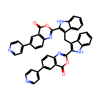 O=c1oc(-c2[nH]c3ccccc3c2Cc2c(-c3nc4ccc(-c5ccncc5)cc4c(=O)o3)[nH]c3ccccc23)nc2ccc(-c3ccncc3)cc12